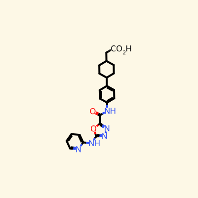 O=C(O)CC1CCC(c2ccc(NC(=O)c3nnc(Nc4ccccn4)o3)cc2)CC1